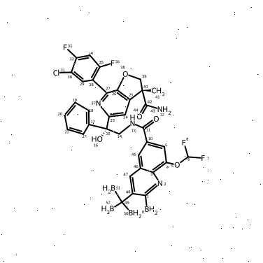 Bc1nc2c(OC(F)F)cc(C(=O)NC[C@@](O)(c3ccccc3)c3cc4c(c(-c5cc(Cl)c(F)cc5F)n3)OC[C@]4(C)C(N)=O)cc2cc1C(B)(B)B